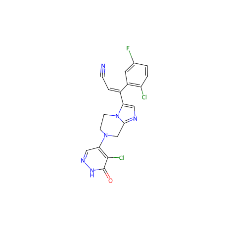 N#C/C=C(\c1cc(F)ccc1Cl)c1cnc2n1CCN(c1cn[nH]c(=O)c1Cl)C2